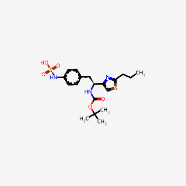 CCCc1nc([C@H](Cc2ccc(NS(=O)(=O)O)cc2)NC(=O)OC(C)(C)C)cs1